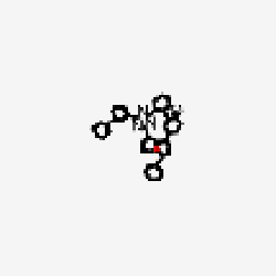 c1ccc(-c2ccc(-c3ccc4oc5cccc(-c6nc(-c7ccccc7)nc(-c7cccc(-c8ccccc8)c7)n6)c5c4c3)cc2)cc1